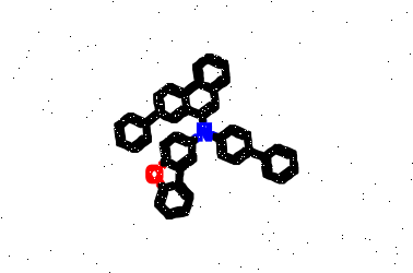 c1ccc(-c2ccc(N(c3ccc4oc5ccccc5c4c3)c3cc4ccccc4c4ccc(-c5ccccc5)cc34)cc2)cc1